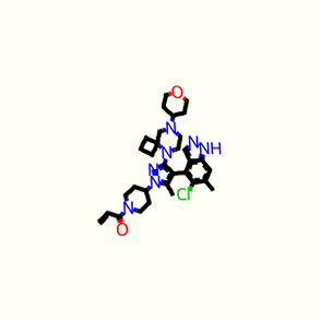 C=CC(=O)N1CCC(n2nc(N3CCN(C4CCOCC4)CC34CCC4)c(-c3c(Cl)c(C)cc4[nH]ncc34)c2C)CC1